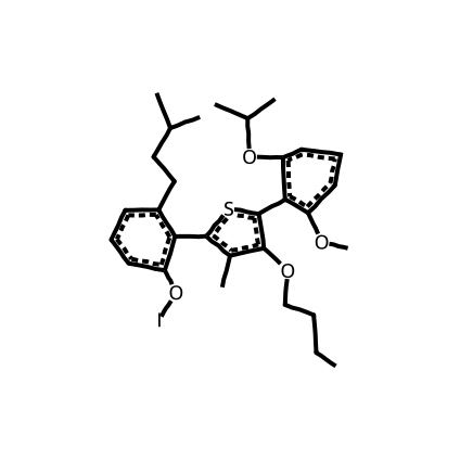 CCCCOc1c(-c2c(OC)cccc2OC(C)C)sc(-c2c(CCC(C)C)cccc2OI)c1C